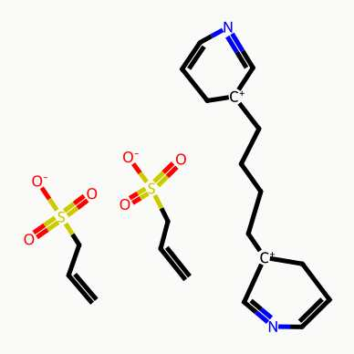 C1=CN=C[C+](CCCC[C+]2C=NC=CC2)C1.C=CCS(=O)(=O)[O-].C=CCS(=O)(=O)[O-]